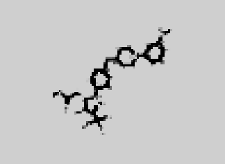 COC(=O)C[C@H]1[C@H](C)C(C(F)(F)F)=NN1c1ccc(CC2CCN(c3cccc(OC)c3)CC2)cc1